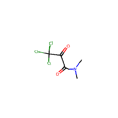 CN(C)C(=O)C(=O)C(Cl)(Cl)Cl